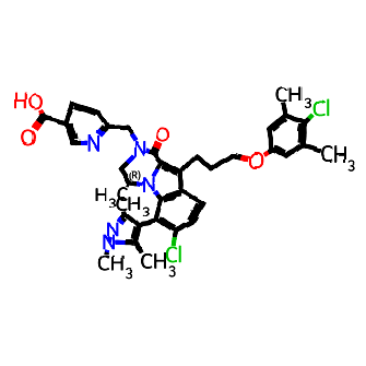 Cc1cc(OCCCc2c3n(c4c(-c5c(C)nn(C)c5C)c(Cl)ccc24)[C@H](C)CN(Cc2ccc(C(=O)O)cn2)C3=O)cc(C)c1Cl